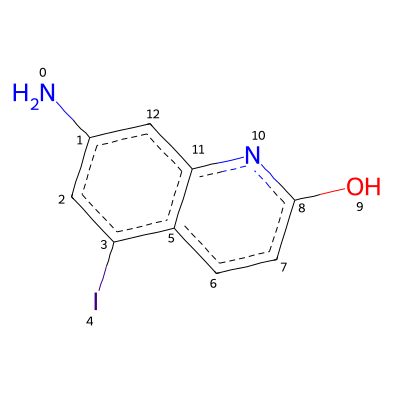 Nc1cc(I)c2ccc(O)nc2c1